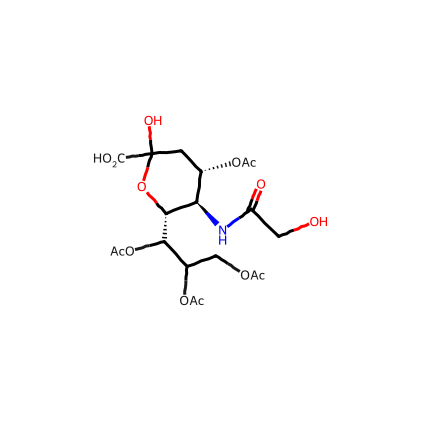 CC(=O)OCC(OC(C)=O)C(OC(C)=O)[C@@H]1OC(O)(C(=O)O)C[C@H](OC(C)=O)[C@H]1NC(=O)CO